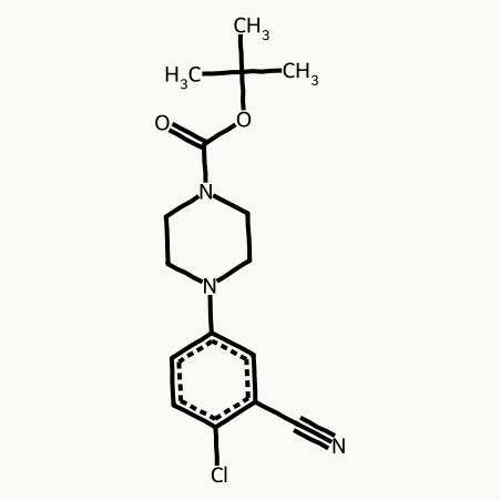 CC(C)(C)OC(=O)N1CCN(c2ccc(Cl)c(C#N)c2)CC1